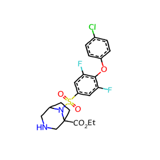 CCOC(=O)C12CCC(CNC1)N2S(=O)(=O)c1cc(F)c(Oc2ccc(Cl)cc2)c(F)c1